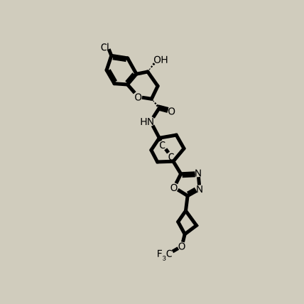 O=C(NC12CCC(c3nnc(C4CC(OC(F)(F)F)C4)o3)(CC1)CC2)[C@H]1C[C@@H](O)c2cc(Cl)ccc2O1